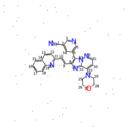 N#Cc1cncc(-c2c(C=Cc3ccc4ccccc4n3)nc3c(N4CCOCC4)ccnn23)c1